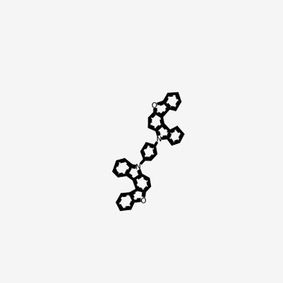 c1ccc2c(c1)oc1ccc3c(c4ccccc4n3-c3ccc(-n4c5ccccc5c5c6c(ccc54)oc4ccccc46)cc3)c12